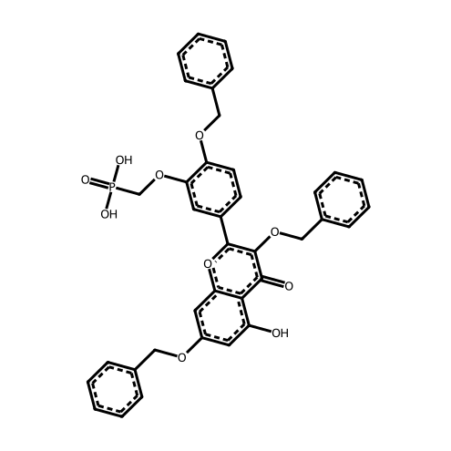 O=c1c(OCc2ccccc2)c(-c2ccc(OCc3ccccc3)c(OCP(=O)(O)O)c2)oc2cc(OCc3ccccc3)cc(O)c12